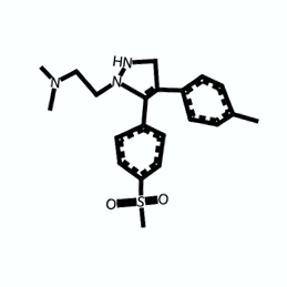 Cc1ccc(C2=C(c3ccc(S(C)(=O)=O)cc3)N(CCN(C)C)NC2)cc1